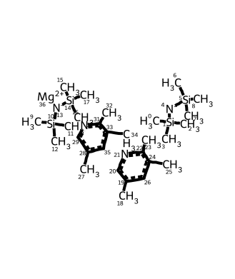 C[Si](C)(C)[N-][Si](C)(C)C.C[Si](C)(C)[N-][Si](C)(C)C.Cc1cnc(C)c(C)c1.Cc1cnc(C)c(C)c1.[Mg+2]